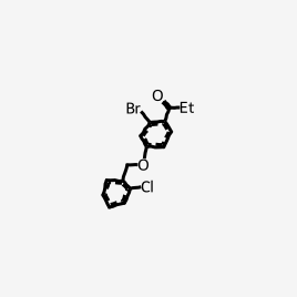 CCC(=O)c1ccc(OCc2ccccc2Cl)cc1Br